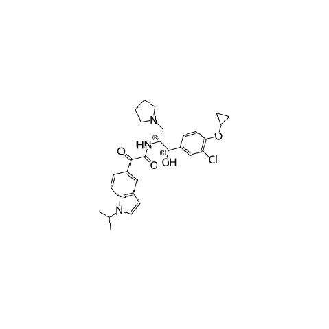 CC(C)n1ccc2cc(C(=O)C(=O)N[C@H](CN3CCCC3)[C@H](O)c3ccc(OC4CC4)c(Cl)c3)ccc21